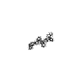 c1ccc2c(c1)ccc1c2c2ccccc2n1-c1ccc(-c2nc(-n3c4ccccc4c4cc(-c5ccc6sc7ccccc7c6c5)ccc43)nc3ccccc23)cc1